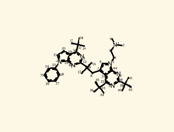 CN(C)CCn1cc(CC(C)(C)c2nc(C(C)(C)C)c3ccn(-c4ccccc4)c3n2)c2c(C(C)(C)C)nc(C(C)(C)C)nc21